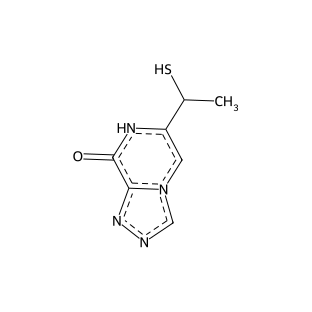 CC(S)c1cn2cnnc2c(=O)[nH]1